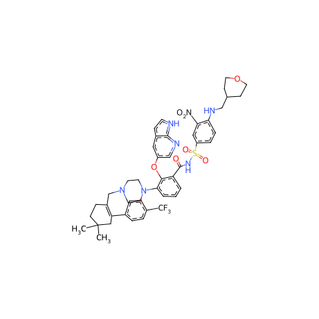 CC1(C)CCC(CN2CCN(c3cccc(C(=O)NS(=O)(=O)c4ccc(NCC5CCOCC5)c([N+](=O)[O-])c4)c3Oc3cnc4[nH]ccc4c3)CC2)=C(c2ccc(C(F)(F)F)cc2)C1